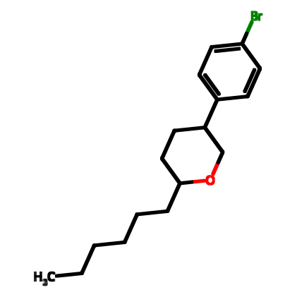 CCCCCCC1CCC(c2ccc(Br)cc2)CO1